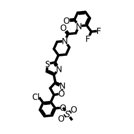 CS(=O)(=O)Oc1cccc(Cl)c1C1CC(c2csc(C3CCN(C(=O)Cn4c(C(F)F)cccc4=O)CC3)n2)=NO1